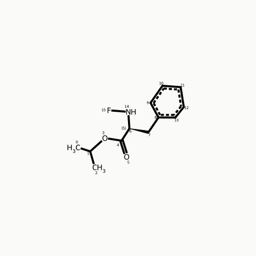 CC(C)OC(=O)[C@H](Cc1ccccc1)NF